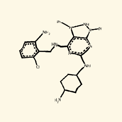 CC(C)N1NN(C(C)C)c2c(NCc3c(N)cccc3Cl)nc(NC3CCC(N)CC3)nc21